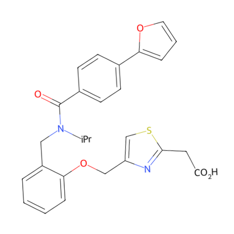 CC(C)N(Cc1ccccc1OCc1csc(CC(=O)O)n1)C(=O)c1ccc(-c2ccco2)cc1